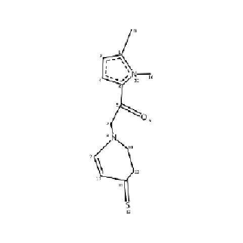 Cc1ccc(C(=O)CN2C=CC(=S)CC2)n1C